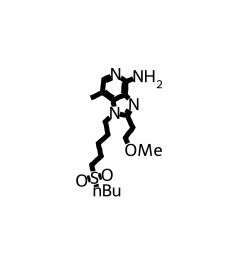 CCCCS(=O)(=O)CCCCCn1c(CCOC)nc2c(N)ncc(C)c21